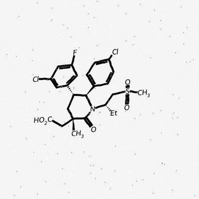 CC[C@@H](CS(C)(=O)=O)N1C(=O)[C@](C)(CC(=O)O)C[C@H](c2cc(F)cc(Cl)c2)[C@H]1c1ccc(Cl)cc1